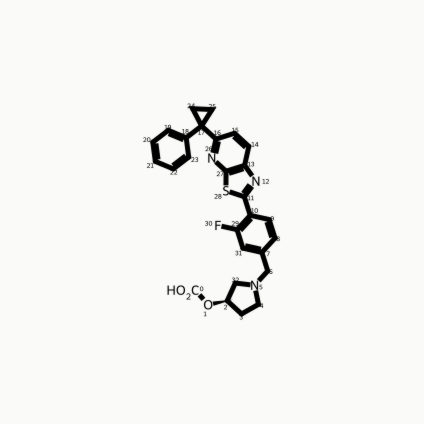 O=C(O)O[C@@H]1CCN(Cc2ccc(-c3nc4ccc(C5(c6ccccc6)CC5)nc4s3)c(F)c2)C1